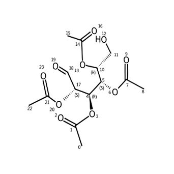 CC(=O)O[C@H]([C@@H](OC(C)=O)[C@@H](CO)OC(C)=O)[C@@H](C=O)OC(C)=O